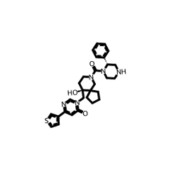 O=C(N1CC[C@@](O)(Cn2cnc(-c3ccsc3)cc2=O)C2(CCCC2)C1)N1CCNC[C@H]1c1ccccc1